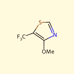 COc1ncsc1C(F)(F)F